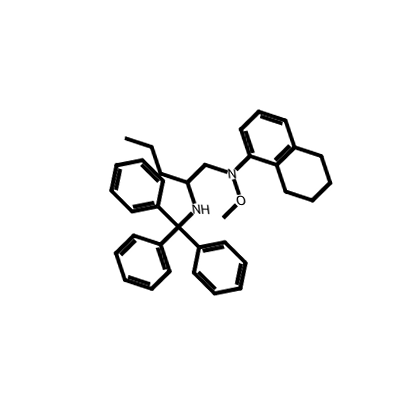 CCCC(CN(OC)c1cccc2c1CCCC2)NC(c1ccccc1)(c1ccccc1)c1ccccc1